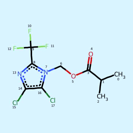 CC(C)C(=O)OCn1c(C(F)(F)F)nc(Cl)c1Cl